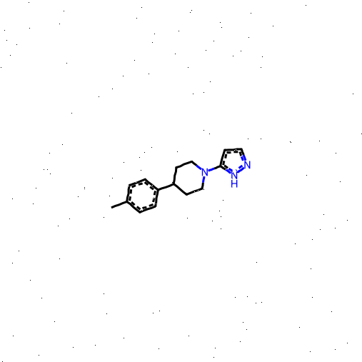 Cc1ccc(C2CCN(c3ccn[nH]3)CC2)cc1